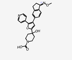 CO/N=C1/CCc2cc(-c3cc(C4(O)CCN(C(=O)O)CC4)oc3-c3ccncc3)ccc21